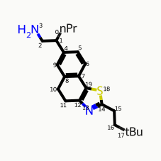 CCCC(CN)c1ccc2c(c1)CCc1nc(CCC(C)(C)C)sc1-2